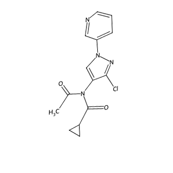 CC(=O)N(C(=O)C1CC1)c1cn(-c2cccnc2)nc1Cl